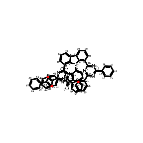 O=C1c2cccc(-n3c4c(-c5nc(-c6ccccc6)nc(-c6ccccc6)n5)cccc4c4cccc(-c5nc(-c6ccccc6)nc(-c6ccccc6)n5)c43)c2C(=O)N1c1ccc(-c2ccccc2)cc1